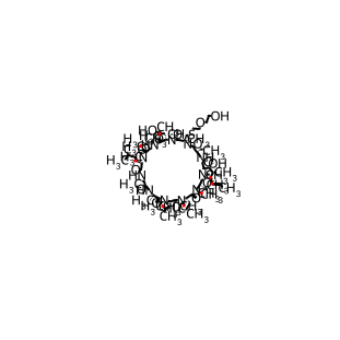 C/C=C/C[C@@H](C)[C@@H](O)[C@H]1C(=O)N[C@@H](CC)C(=O)N(C)[C@H](CSCCOCCO)C(=O)N(C)[C@@H](CC(C)(C)O)C(=O)N[C@H](C(C)C)C(=O)N(C)[C@H](CCC(C)C)C(=O)N[C@H](C)C(=O)N[C@@H](C)C(=O)N(C)[C@@H](CC(C)C)C(=O)N(C)[C@@H](CC(C)C)C(=O)N(C)[C@@H](C(C)C)C(=O)N1C